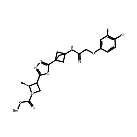 C[C@H]1C(c2nnc(C34CC(NC(=O)COc5ccc(Cl)c(F)c5)(C3)C4)o2)CN1C(=O)OC(C)(C)C